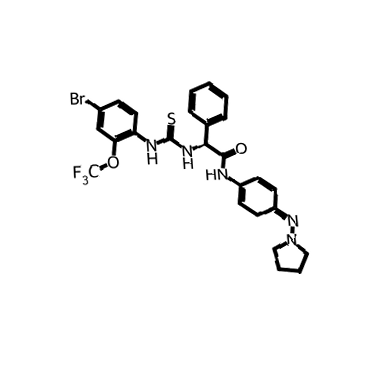 O=C(NC1=CCC(=NN2CCCC2)C=C1)[C@@H](NC(=S)Nc1ccc(Br)cc1OC(F)(F)F)c1ccccc1